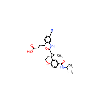 CC(C)NC(=O)c1ccc2c(c1)[C@@]1(CCO2)C(C(=O)Nc2cc(C#N)ccc2CCCC(=O)O)[C@@H]1C